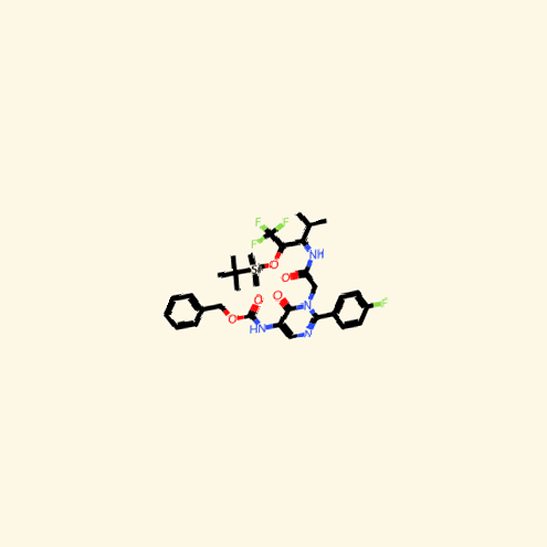 CC(C)C(NC(=O)Cn1c(-c2ccc(F)cc2)ncc(NC(=O)OCc2ccccc2)c1=O)C(O[Si](C)(C)C(C)(C)C)C(F)(F)F